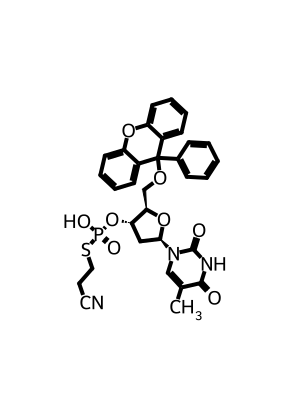 Cc1cn([C@H]2C[C@H](OP(=O)(O)SCCC#N)[C@@H](COC3(c4ccccc4)c4ccccc4Oc4ccccc43)O2)c(=O)[nH]c1=O